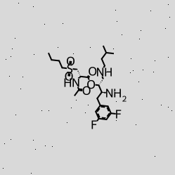 CCCCS(=O)(=O)C[C@@H](NC(C)=O)C(=O)O[C@H](CNCCC(C)C)[C@@H](N)Cc1cc(F)cc(F)c1